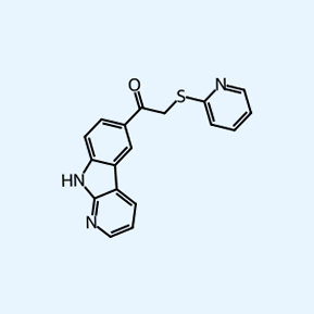 O=C(CSc1ccccn1)c1ccc2[nH]c3ncccc3c2c1